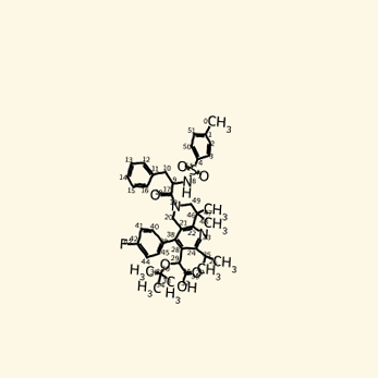 Cc1ccc(S(=O)(=O)NC(Cc2ccccc2)C(=O)N2Cc3c(nc(C(C)C)c(C(OC(C)(C)C)C(=O)O)c3-c3ccc(F)cc3)C(C)(C)C2)cc1